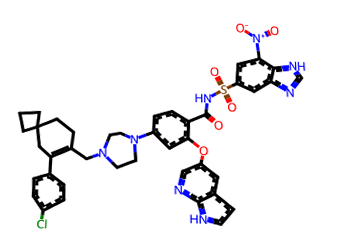 O=C(NS(=O)(=O)c1cc([N+](=O)[O-])c2[nH]cnc2c1)c1ccc(N2CCN(CC3=C(c4ccc(Cl)cc4)CC4(CCC4)CC3)CC2)cc1Oc1cnc2[nH]ccc2c1